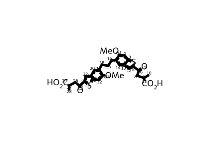 COc1cc2sc(C(=O)CC(C)C(=O)O)cc2cc1CCCc1cc2cc(C(=O)CC(C)C(=O)O)sc2cc1OC